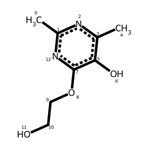 Cc1nc(C)c(O)c(OCCO)n1